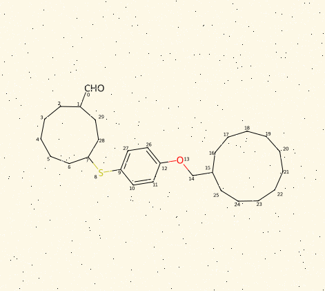 O=CC1CCCCCC(Sc2ccc(OCC3CCCCCCCCCC3)cc2)CC1